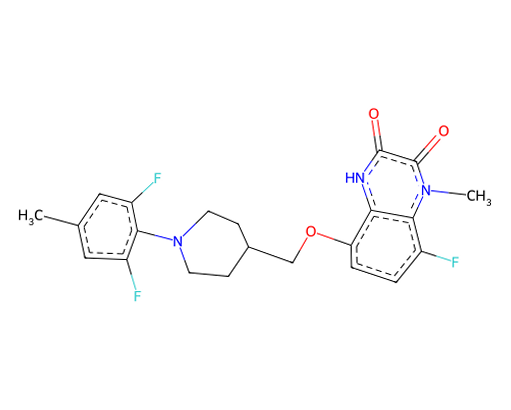 Cc1cc(F)c(N2CCC(COc3ccc(F)c4c3[nH]c(=O)c(=O)n4C)CC2)c(F)c1